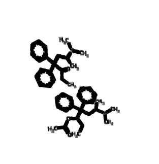 CCC(=O)C(CC(C)N(C)C)(c1ccccc1)c1ccccc1.CCC(OC(C)=O)C(CC(C)N(C)C)(c1ccccc1)c1ccccc1